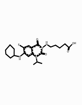 CC(C)n1c(=O)n(NCCCCC(=O)O)c(=O)c2cc(F)c(NC3CCCCC3)cc21